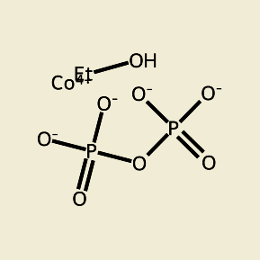 CCO.O=P([O-])([O-])OP(=O)([O-])[O-].[Co+4]